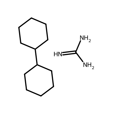 C1CCC(C2CCCCC2)CC1.N=C(N)N